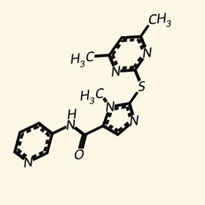 Cc1cc(C)nc(Sc2ncc(C(=O)Nc3cccnc3)n2C)n1